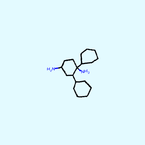 NC1CCC(N)(C2CCCCC2)C(C2CCCCC2)C1